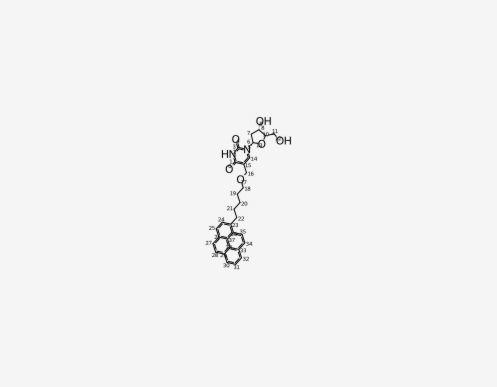 O=c1[nH]c(=O)n([C@H]2C[C@H](O)[C@@H](CO)O2)cc1COCCCCCc1ccc2ccc3cccc4ccc1c2c34